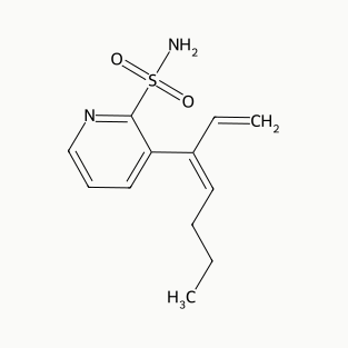 C=C/C(=C/CCC)c1cccnc1S(N)(=O)=O